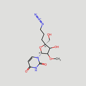 COC1C(O)[C@](CO)(CCCN=[N+]=[N-])O[C@H]1n1ccc(=O)[nH]c1=O